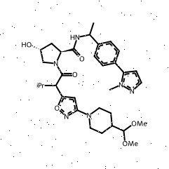 COC(OC)C1CCN(c2cc(C(C(=O)N3C[C@H](O)C[C@H]3C(=O)NC(C)c3ccc(-c4ccnn4C)cc3)C(C)C)on2)CC1